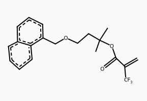 C=C(C(=O)OC(C)(C)CCOCc1cccc2ccccc12)C(F)(F)F